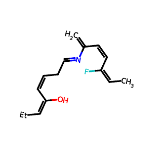 C=C(/C=C\C(F)=C/C)/N=C/C/C=C\C(O)=C/CC